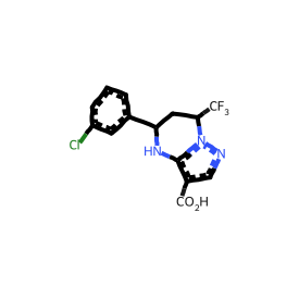 O=C(O)c1cnn2c1NC(c1cccc(Cl)c1)CC2C(F)(F)F